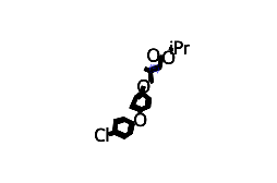 C/C(=C\C(=O)OC(C)C)COc1ccc(Oc2ccc(Cl)cc2)cc1